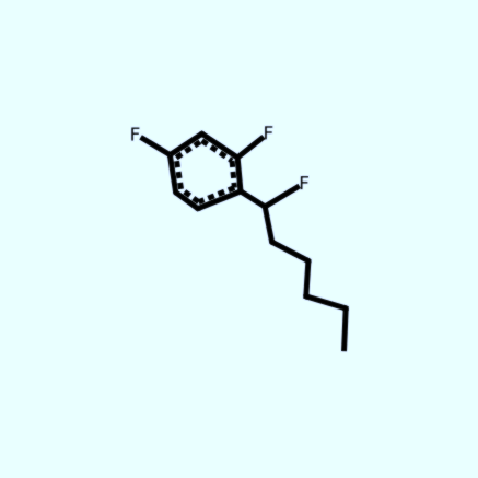 CCCCCC(F)c1ccc(F)cc1F